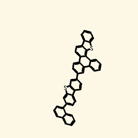 c1ccc2c(-c3ccc4c(c3)sc3cc(-c5ccc6c(c5)c5ccccc5c5c6ccc6c7ccccc7sc65)ccc34)cccc2c1